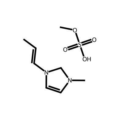 CC=CN1C=CN(C)C1.COS(=O)(=O)O